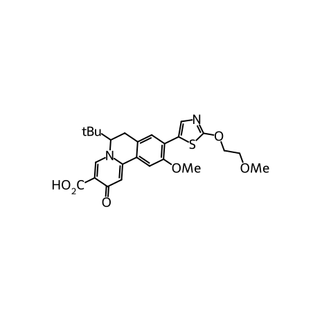 COCCOc1ncc(-c2cc3c(cc2OC)-c2cc(=O)c(C(=O)O)cn2C(C(C)(C)C)C3)s1